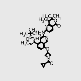 CC[C@@H](N[S+]([O-])C(C)(C)C)c1ccc(OC2CN(C(=O)C3CC3)C2)c2cnc(Nc3ccc4c(n3)[C@@H](C)C(C)(C)OC4=O)cc12